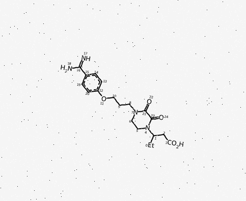 CCC(CC(=O)O)N1CCN(CCCOc2ccc(C(=N)N)cc2)C(=O)C1=O